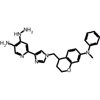 CN(c1ccccc1)c1ccc2c(c1)OCCC2Cn1cnc(-c2cc(NN)c(N)cn2)c1